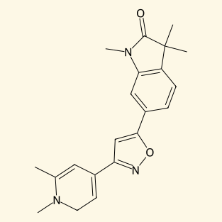 CC1=CC(c2cc(-c3ccc4c(c3)N(C)C(=O)C4(C)C)on2)=CCN1C